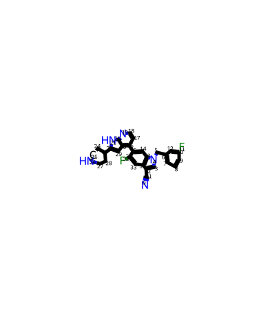 N#Cc1cn(Cc2cccc(F)c2)c2cc(-c3ccnc4[nH]c(C5CCNCC5)cc34)c(F)cc12